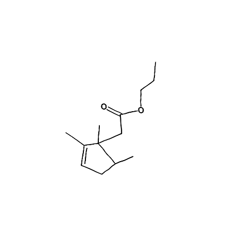 CCCOC(=O)CC1(C)C(C)=CCC1C